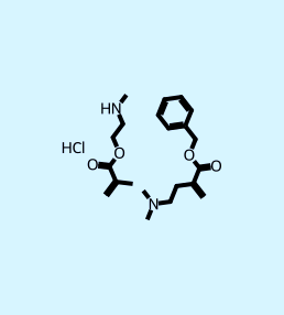 C=C(C)C(=O)OCCNC.C=C(CCN(C)C)C(=O)OCc1ccccc1.Cl